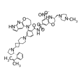 C=C(C)c1ccccc1[C@@H]1CCCN1C1CC2(CCN(c3ccc(C(=O)NS(=O)(=O)c4cc5c(c([N+](=O)[O-])c4)N[C@@H](CN4CCN(C)CC4)CO5)c(N4CCCOc5nc6[nH]ccc6cc54)c3)CC2)C1